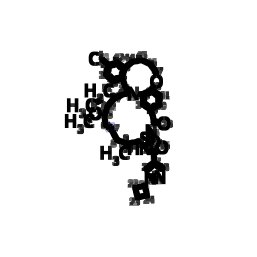 CC[C@H]1[C@@H](OC)/C=C/C[C@H](C)CS(=O)(NC(=O)c2cnn(C3CCC3)c2)=NC(=O)c2ccc3c(c2)N(Cc2ccc(Cl)cc2CCCCO3)C[C@@H]1C